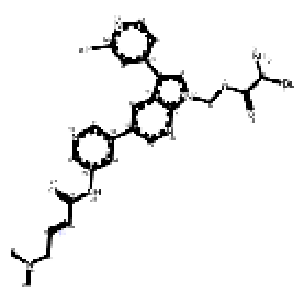 CCC(C)C(N)C(=O)OCn1cc(-c2ccnc(F)c2)c2cc(-c3cncc(NC(=O)/C=C/CN(C)C)c3)cnc21